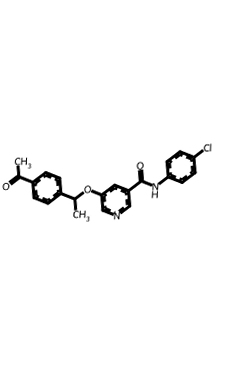 CC(=O)c1ccc(C(C)Oc2cncc(C(=O)Nc3ccc(Cl)cc3)c2)cc1